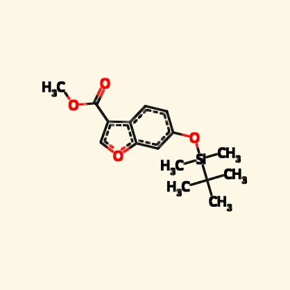 COC(=O)c1coc2cc(O[Si](C)(C)C(C)(C)C)ccc12